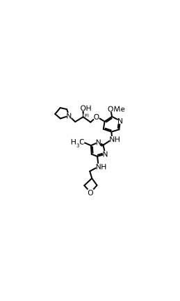 COc1ncc(Nc2nc(C)cc(NCC3COC3)n2)cc1OC[C@H](O)CN1CCCC1